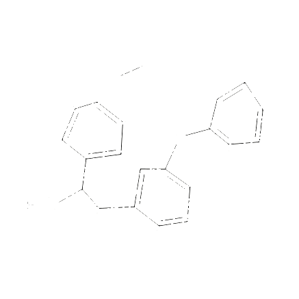 CC.O=C(O)C(Cc1cccc(Oc2ccccc2)c1)c1ccccc1